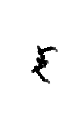 CCCCCCCCc1cc(-c2ccc(-c3c4c(c(-c5ccc(-c6ccc(C#N)c(CCCCCCCC)c6)s5)c5nsnc35)NSN4)s2)ccc1C#N